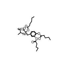 CCCCCC(=O)O[C@](Cc1ccc(OC(=O)CCCC)c(OC(=O)CCCC)c1)(NC(C)CC)C(=O)O